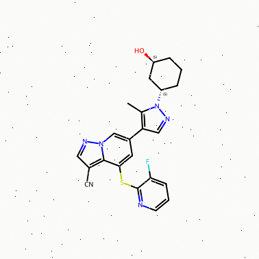 Cc1c(-c2cc(Sc3ncccc3F)c3c(C#N)cnn3c2)cnn1[C@H]1CCC[C@H](O)C1